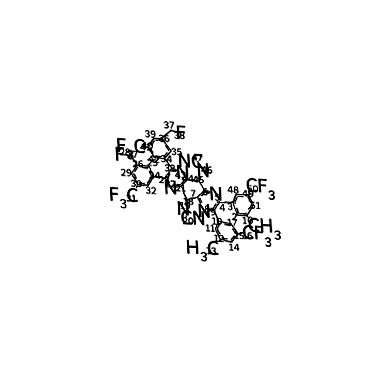 Cc1cc(-c2nc3c(nc2-c2cc(C)cc(C(F)(F)F)c2)/C(=N\C#N)c2nc(-c4cc(CF)cc(C(F)(F)F)c4)c(-c4cc(CF)cc(C(F)(F)F)c4)nc2/C3=N\C#N)cc(C(F)(F)F)c1